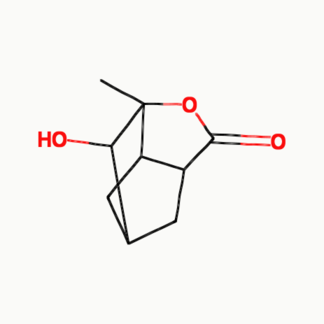 CC12OC(=O)C3CC(CC31)C2O